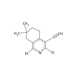 C#Cc1c(Cl)nc(CC)c2c1CCC(C)(C)C2